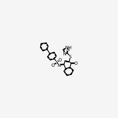 O=C1C(Sc2nc[nH]n2)=CC(=NS(=O)(=O)c2ccc(-c3ccccc3)cc2)c2ccccc21